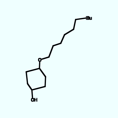 CCC(C)CCCCCCOC1CCC(O)CC1